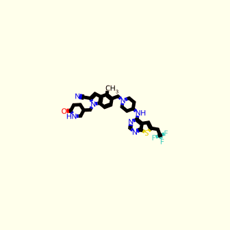 Cc1c(CN2CCC(Nc3ncnc4sc(CC(F)(F)F)cc34)CC2)ccc2c1cc(C#N)n2CC1CCC(=O)NC1